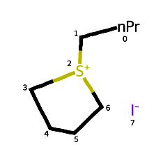 CCCC[S+]1CCCC1.[I-]